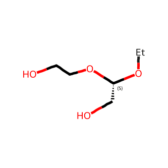 CCO[C@H](CO)OCCO